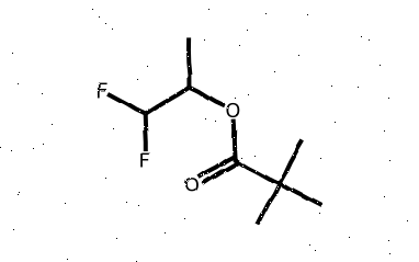 CC(OC(=O)C(C)(C)C)C(F)F